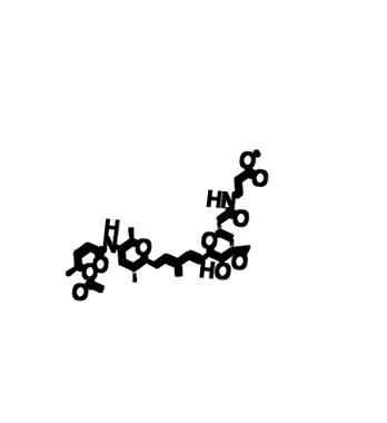 COC(=O)CCNC(=O)C[C@@H]1C[C@@]2(CO2)[C@H](O)[C@@H](/C=C/C(C)=C/C[C@@H]2O[C@H](C)[C@H](NC(=O)/C=C\[C@H](C)OC(C)=O)C[C@H]2C)O1